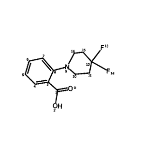 O=C(O)c1ccccc1N1CCC(F)(F)CC1